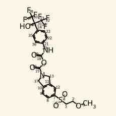 COCCS(=O)(=O)c1ccc2c(c1)CN(C(=O)OC(=O)Nc1ccc(C(O)(C(F)(F)F)C(F)(F)F)cc1)C2